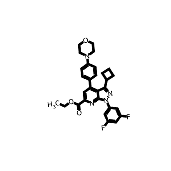 CCOC(=O)c1cc(-c2ccc(N3CCOCC3)cc2)c2c(C3CCC3)nn(-c3cc(F)cc(F)c3)c2n1